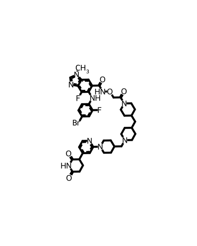 Cn1cnc2c(F)c(Nc3ccc(Br)cc3F)c(C(=O)NOCC(=O)N3CCC(CC4CCN(CC5CCN(c6cc(C7CCC(=O)NC7=O)ccn6)CC5)CC4)CC3)cc21